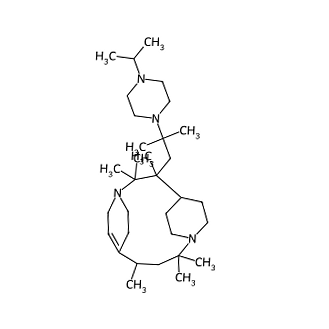 CC1CC(C)(C)N2CCC(CC2)C(C)(CC(C)(C)N2CCN(C(C)C)CC2)C(C)(C)N2CC=C1CC2